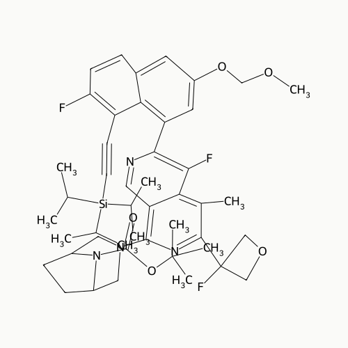 COCOc1cc(-c2ncc3c(N4CC5CCC(C4)N5C(=O)OC(C)(C)C)nc(C4(F)COC4)c(C)c3c2F)c2c(C#C[Si](C(C)C)(C(C)C)C(C)C)c(F)ccc2c1